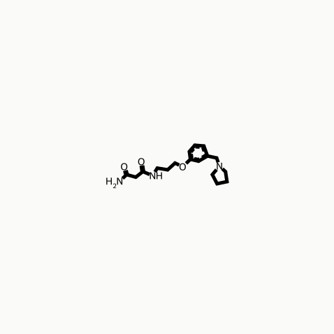 NC(=O)CC(=O)NCCCOc1cccc(CN2CCCC2)c1